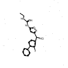 CCNC(=N)Nc1cc(C(C)c2ccc(-c3ccccc3)c(F)c2)no1.Cl